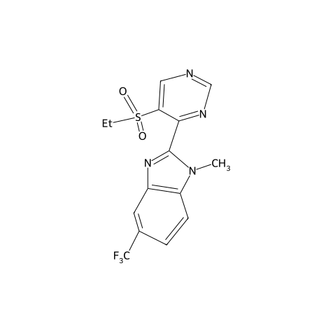 CCS(=O)(=O)c1cncnc1-c1nc2cc(C(F)(F)F)ccc2n1C